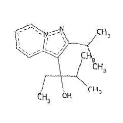 CCC(O)(c1c(C(C)C)nn2ccccc12)C(C)C